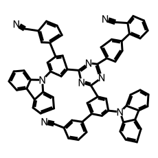 N#Cc1cccc(-c2cc(-c3nc(-c4ccc(-c5ccccc5C#N)cc4)nc(-c4cc(-c5cccc(C#N)c5)cc(-n5c6ccccc6c6ccccc65)c4)n3)cc(-n3c4ccccc4c4ccccc43)c2)c1